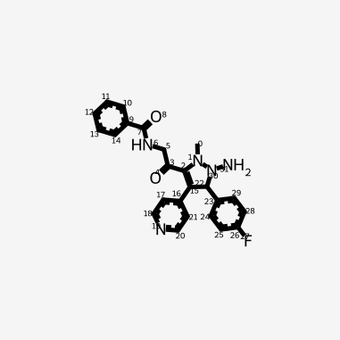 CN1C(C(=O)CNC(=O)c2ccccc2)=C(c2ccncc2)C(c2ccc(F)cc2)N1N